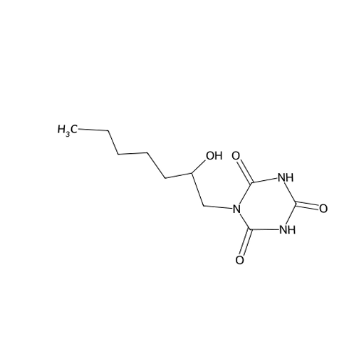 CCCCCC(O)Cn1c(=O)[nH]c(=O)[nH]c1=O